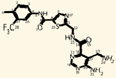 Cc1ccc(NC(=O)c2cnc(CNC(=O)c3ncnc(N)c3CN)s2)cc1C(F)(F)F